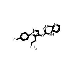 CCCc1c(OC(=O)Nc2cccnc2Cl)cnn1-c1ccc(Cl)cc1